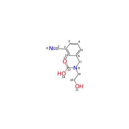 N#Cc1cccc(CN(CCO)C(=O)O)c1